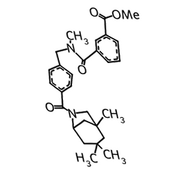 COC(=O)c1cccc(C(=O)N(C)Cc2ccc(C(=O)N3CC4(C)CC3CC(C)(C)C4)cc2)c1